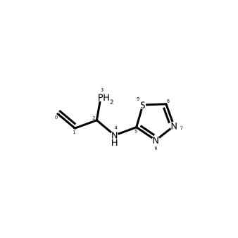 C=CC(P)Nc1nncs1